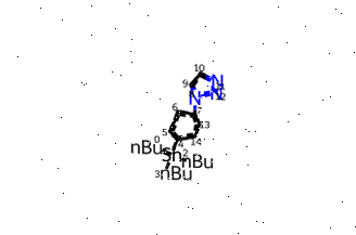 CCC[CH2][Sn]([CH2]CCC)([CH2]CCC)[c]1ccc(-n2ccnn2)cc1